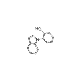 Oc1ccccc1-n1ccc2ccccc21